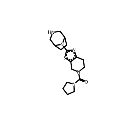 O=C(N1CCCC1)N1CCc2nc(N3C4CCC3CNC4)sc2C1